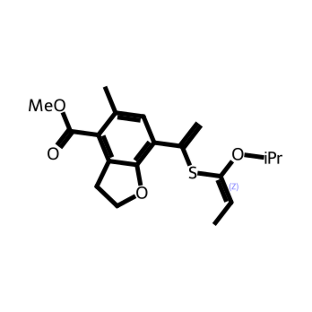 C=C(S/C(=C\C)OC(C)C)c1cc(C)c(C(=O)OC)c2c1OCC2